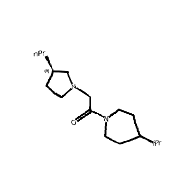 CCC[C@@H]1CCN(CC(=O)N2CCC(C(C)C)CC2)C1